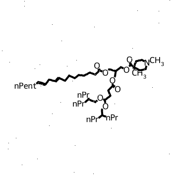 CCCCCC=CCC=CCCCCCCCC(=O)OCC(COC(=O)CCC(OCC(CCC)CCC)OCC(CCC)CCC)COC(=O)C1(C)CCN(C)CC1